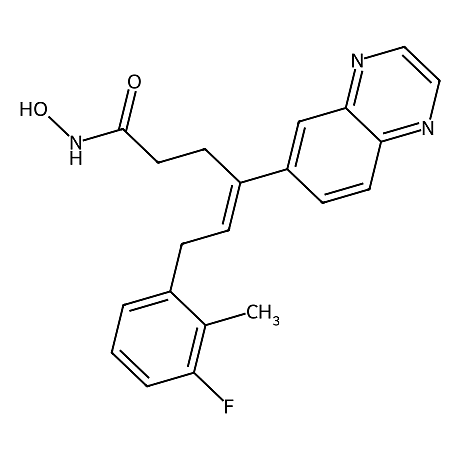 Cc1c(F)cccc1C/C=C(\CCC(=O)NO)c1ccc2nccnc2c1